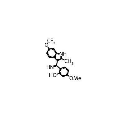 COc1ccc(C(=N)c2c(C)[nH]c3cc(OC(F)(F)F)ccc23)c(O)c1